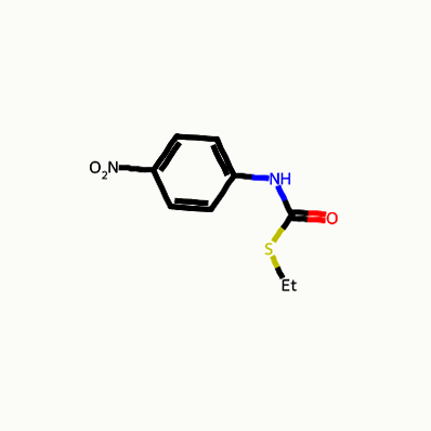 CCSC(=O)Nc1ccc([N+](=O)[O-])cc1